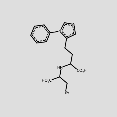 CC(C)CC(NC(CCc1cncn1-c1ccccc1)C(=O)O)C(=O)O